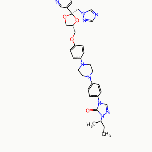 CC[C@@H](C)n1ncn(-c2ccc(N3CCN(c4ccc(OC[C@@H]5CO[C@@](Cn6cncn6)(c6cccnc6)O5)cc4)CC3)cc2)c1=O